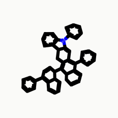 C1=CCC2C(=C1)C(c1ccccc1)=C1C=C3C(CC1=C2C1C=CC(c2ccccc2)=C2C=CC=CC21)c1ccccc1N3c1ccccc1